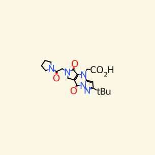 CC(C)(C)c1cc2n(CC(=O)O)c3c(c(=O)n2n1)CN(CC(=O)N1CCCC1)C3=O